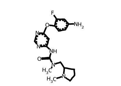 CN(CC1CCCN1C)C(=O)Nc1cc(Oc2ccc(N)cc2F)ncn1